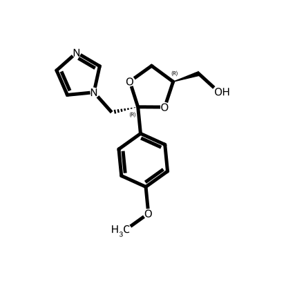 COc1ccc([C@@]2(Cn3ccnc3)OC[C@@H](CO)O2)cc1